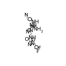 CN(C)Cc1ccc(Nc2nc(N)n(-c3ccnc(CCNC(=O)c4cncn(Cc5ccc(F)c(F)c5)c4=O)n3)n2)cc1